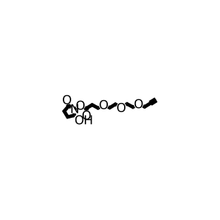 C#CCOCCOCCOCCC(=O)ON1C(=O)CCC1O